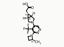 C[C@H]1CCN1c1nncc(N2C[C@@H]3[C@@H](CC(=O)O)[C@@H]3C2)c1C(F)(F)F